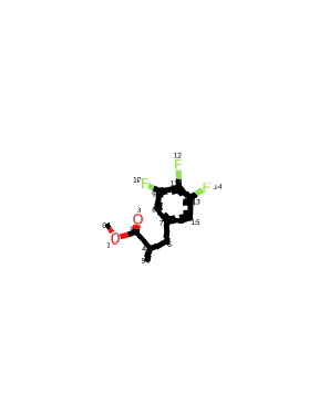 COC(=O)C(C)Cc1cc(F)c(F)c(F)c1